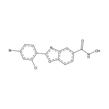 O=C(NO)c1ccc2oc(-c3ccc(Br)cc3Cl)nc2c1